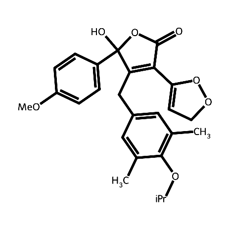 COc1ccc(C2(O)OC(=O)C(C3=CCOO3)=C2Cc2cc(C)c(OC(C)C)c(C)c2)cc1